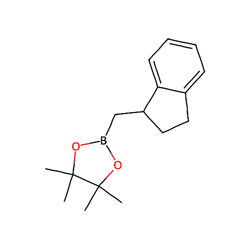 CC1(C)OB(CC2CCc3ccccc32)OC1(C)C